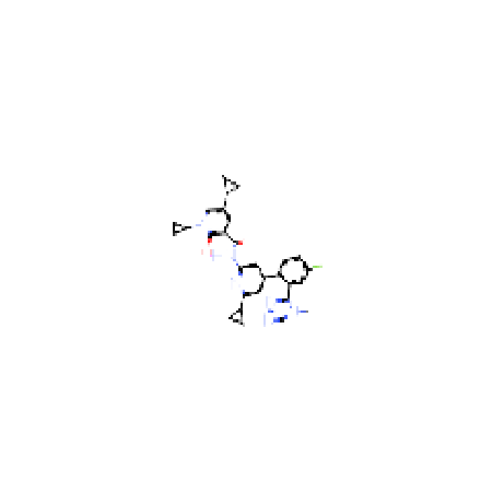 Cn1cnnc1-c1cc(F)ccc1-c1cc(NC(=O)c2cc(C3CC3)cn(C3CC3)c2=O)nc(C2CC2)c1